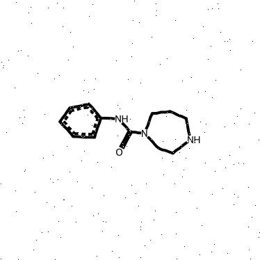 O=C(Nc1ccccc1)N1CCCNCC1